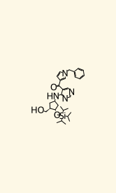 CC(C)[Si](O[C@H]1C[C@H](Nc2ncncc2C(=O)c2ccn(Cc3ccccc3)c2)C[C@@H]1CO)(C(C)C)C(C)C